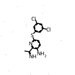 CC(=N)c1nc(Sc2cc(Cl)cc(Cl)c2)ccc1N